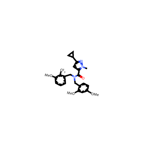 COc1ccc(CN(Cc2cccc(OC)c2C(F)(F)F)C(=O)c2cc(C3CC3)nn2C)c(OC)c1